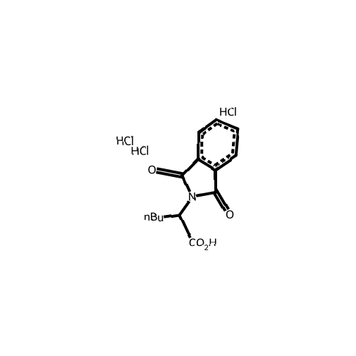 CCCCC(C(=O)O)N1C(=O)c2ccccc2C1=O.Cl.Cl.Cl